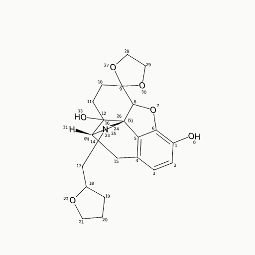 Oc1ccc2c3c1OC1C4(CCC5(O)[C@@H](C2)N(CC2CCCO2)CCC[C@]315)OCCO4